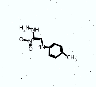 Cc1ccc(NC=C(NN)[N+](=O)[O-])cc1